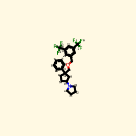 FC(F)(F)c1cc(COCC2(c3ccccc3)CCC(N3CCCC3)C2)cc(C(F)(F)F)c1